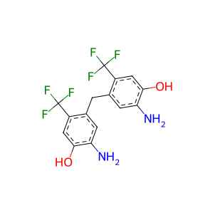 Nc1cc(Cc2cc(N)c(O)cc2C(F)(F)F)c(C(F)(F)F)cc1O